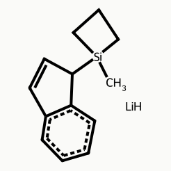 C[Si]1(C2C=Cc3ccccc32)CCC1.[LiH]